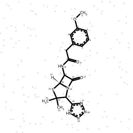 COc1cccc(CC(=O)NC2C(=O)N3C(c4nnn[nH]4)C(C)(C)S[C@@H]23)c1